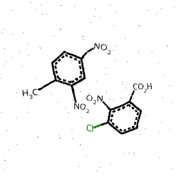 Cc1ccc([N+](=O)[O-])cc1[N+](=O)[O-].O=C(O)c1cccc(Cl)c1[N+](=O)[O-]